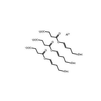 CCCCCCCCCCCCC=COC(=O)CCC(=O)[O-].CCCCCCCCCCCCC=COC(=O)CCC(=O)[O-].CCCCCCCCCCCCC=COC(=O)CCC(=O)[O-].[Al+3]